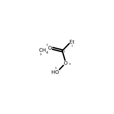 C.CCC(=O)OO